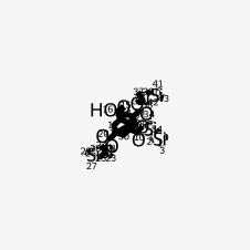 C[Si](C)(C)C[Si](C)(C)OC(=O)C12CC3(C(=O)O)CC(C(=O)O[Si](C)(C)C[Si](C)(C)C)(C1)CC(C(=O)O[Si](C)(C)C[Si](C)(C)C)(C3)C2